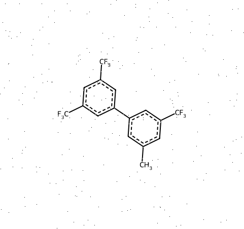 Cc1cc(-c2cc(C(F)(F)F)cc(C(F)(F)F)c2)cc(C(F)(F)F)c1